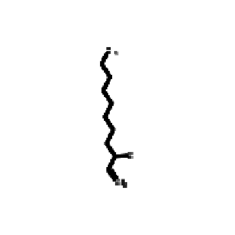 C=CC(Cl)CCCCCCCC